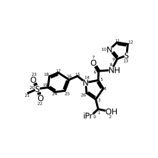 CC(C)C(O)c1cc(C(=O)Nc2nccs2)n(Cc2ccc(S(C)(=O)=O)cc2)c1